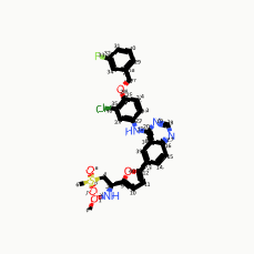 CONC(CS(C)(=O)=O)c1ccc(-c2ccc3ncnc(Nc4ccc(OCc5cccc(F)c5)c(Cl)c4)c3c2)o1